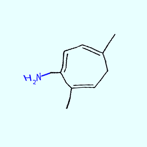 CC1=CC=C(N)C(C)=CC1